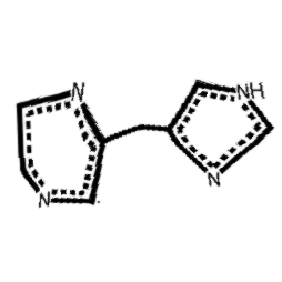 [c]1nccnc1-c1c[nH]cn1